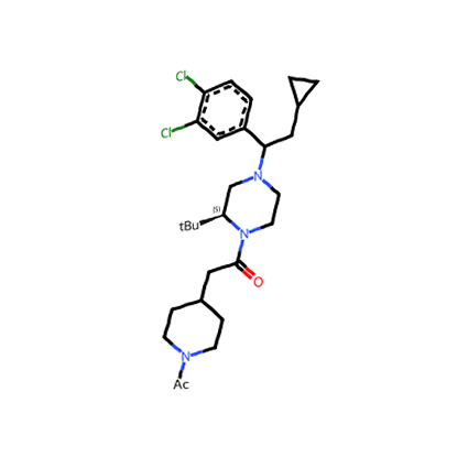 CC(=O)N1CCC(CC(=O)N2CCN(C(CC3CC3)c3ccc(Cl)c(Cl)c3)C[C@@H]2C(C)(C)C)CC1